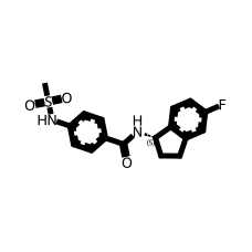 CS(=O)(=O)Nc1ccc(C(=O)N[C@H]2CCc3cc(F)ccc32)cc1